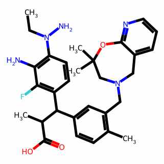 CCN(N)c1ccc(C(c2ccc(C)c(CN3Cc4cccnc4OC(C)(C)C3)c2)C(C)C(=O)O)c(F)c1N